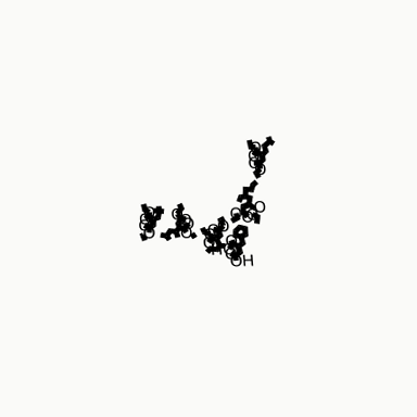 CCCC(C)C(=CC(=O)OCC)C(=O)OCC.CCCCC(CC)CC(=CC(=O)OCC)C(=O)OCC.CCOC(=O)C=C(C(=O)OCC)C(C)CC(C)C.CCOC(=O)C=C(CC(C)(C)C)C(=O)OCC.CCOC(=O)C=C(CCC(C)C)C(=O)OCC.O=C(O)C=C(CC1CCCCC1)C(=O)O